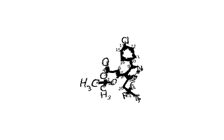 CC1(C)OC(=O)C=C(c2c(-c3ccc(Cl)cc3)nsc2CC(F)(F)F)O1